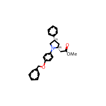 COC(=O)C[C@H]1C[C@@H](c2ccccc2)CN1c1ccc(OCc2ccccc2)cc1